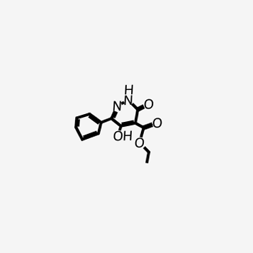 CCOC(=O)c1c(O)c(-c2ccccc2)n[nH]c1=O